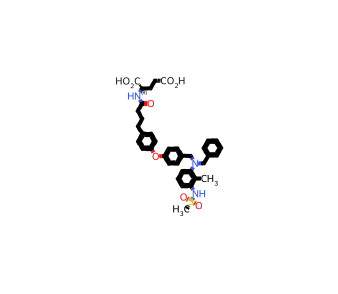 Cc1c(NS(C)(=O)=O)cccc1N(Cc1ccccc1)Cc1ccc(Oc2ccc(CCCC(=O)N[C@H](CCC(=O)O)C(=O)O)cc2)cc1